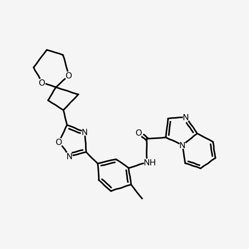 Cc1ccc(-c2noc(C3CC4(C3)OCCCO4)n2)cc1NC(=O)c1cnc2ccccn12